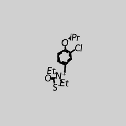 CC[N+](CC)(Cc1ccc(OC(C)C)c(Cl)c1)C(=O)[S-]